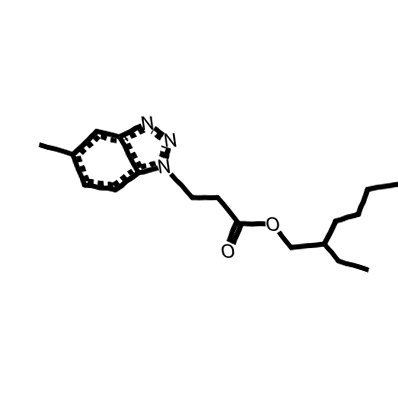 CCCCC(CC)COC(=O)CCn1nnc2cc(C)ccc21